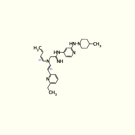 C=C/C=C\N(/C=C/c1cccc(CC)n1)CC(=N)Nc1ccnc(NN2CCC(C)CC2)c1